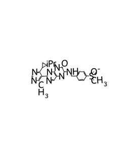 Cc1ncnc(C2CC2)c1-c1ncc2nc(NCc3ccc([S+](C)[O-])cc3)c(=O)n(C(C)C)c2n1